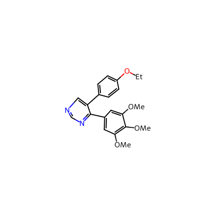 CCOc1ccc(-c2cncnc2-c2cc(OC)c(OC)c(OC)c2)cc1